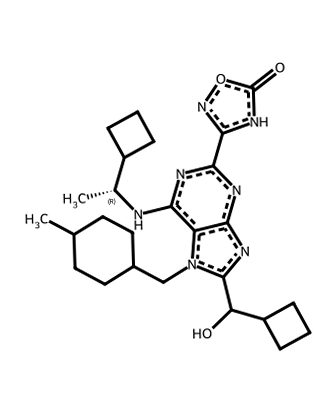 CC1CCC(Cn2c(C(O)C3CCC3)nc3nc(-c4noc(=O)[nH]4)nc(N[C@H](C)C4CCC4)c32)CC1